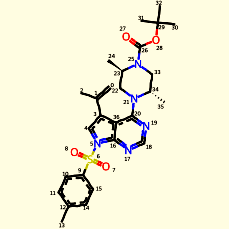 C=C(C)c1cn(S(=O)(=O)c2ccc(C)cc2)c2ncnc(N3C[C@@H](C)N(C(=O)OC(C)(C)C)C[C@@H]3C)c12